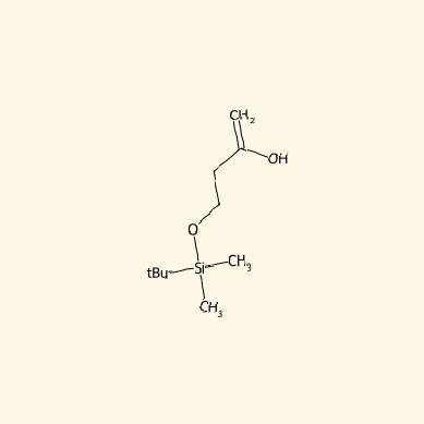 C=C(O)CCO[Si](C)(C)C(C)(C)C